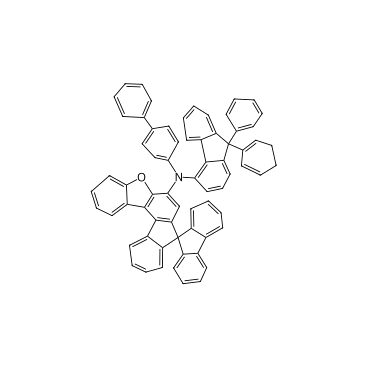 C1=CC(C2(c3ccccc3)c3ccccc3-c3c(N(c4ccc(-c5ccccc5)cc4)c4cc5c(c6c4oc4ccccc46)-c4ccccc4C54c5ccccc5-c5ccccc54)cccc32)=CCC1